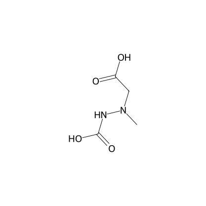 CN(CC(=O)O)NC(=O)O